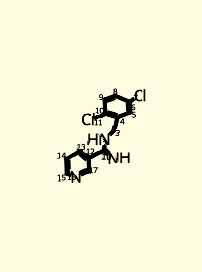 N=C(NCc1cc(Cl)ccc1Cl)c1cccnc1